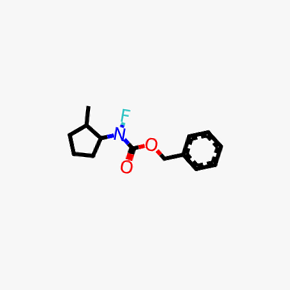 CC1CCCC1N(F)C(=O)OCc1ccccc1